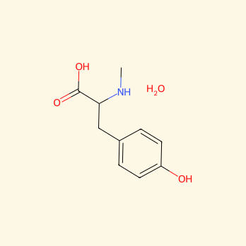 CNC(Cc1ccc(O)cc1)C(=O)O.O